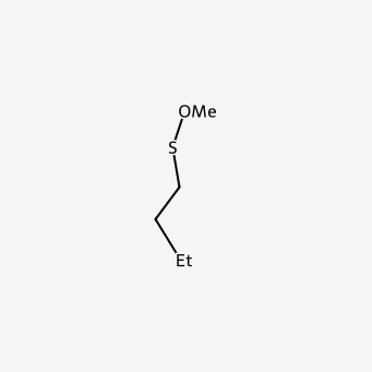 CCCCSOC